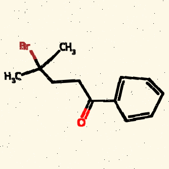 CC(C)(Br)CCC(=O)c1ccccc1